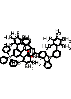 Bc1c(B)c(B)c(-c2cccc(-n3c4ccccc4c4cc(-c5ccc6c(c5)c5ccccc5n6-c5c(-c6c(B)c(B)c(B)c(B)c6B)cc(S(c6ccccc6)(c6ccccc6)c6ccccc6)cc5-c5c(B)c(B)c(B)c(B)c5B)ccc43)c2)c(B)c1B